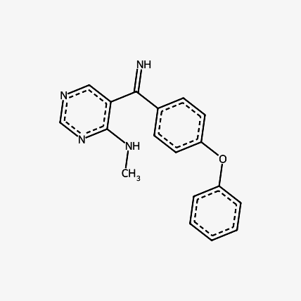 CNc1ncncc1C(=N)c1ccc(Oc2ccccc2)cc1